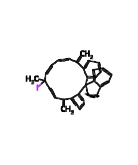 C=C1/C=C\C=C/C(C)(I)/C=C\C(=C)c2ccccc2C2(c3ccccc31)c1ccccc1-c1ccccc12